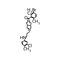 Cc1ccc(NCCCN2CC3CN(C(=O)c4c(C)ccc(Br)c4C)CC3C2)cc1Cl